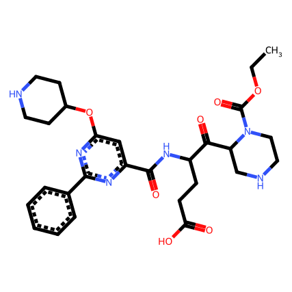 CCOC(=O)N1CCNCC1C(=O)C(CCC(=O)O)NC(=O)c1cc(OC2CCNCC2)nc(-c2ccccc2)n1